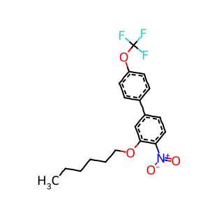 CCCCCCOc1cc(-c2ccc(OC(F)(F)F)cc2)ccc1[N+](=O)[O-]